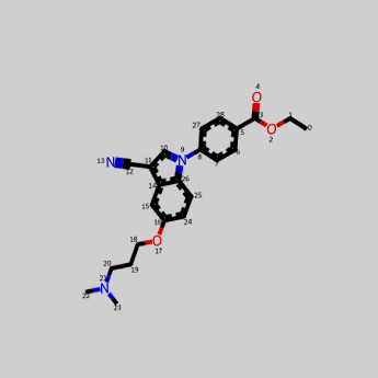 CCOC(=O)c1ccc(-n2cc(C#N)c3cc(OCCCN(C)C)ccc32)cc1